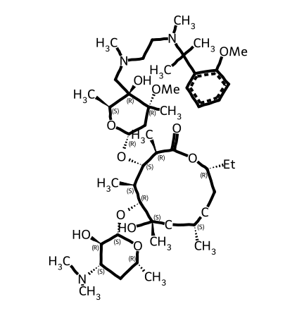 CC[C@@H]1CC[C@H](C)C[C@](C)(O)[C@H](O[C@@H]2O[C@H](C)C[C@H](N(C)C)[C@H]2O)[C@@H](C)[C@H](O[C@H]2C[C@@](C)(OC)[C@@](O)(CN(C)CCN(C)C(C)(C)c3ccccc3OC)[C@H](C)O2)[C@@H](C)C(=O)O1